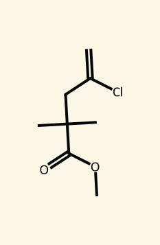 C=C(Cl)CC(C)(C)C(=O)OC